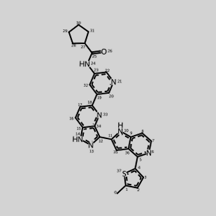 Cc1ccc(-c2nccc3[nH]c(-c4n[nH]c5ccc(-c6cncc(NC(=O)C7CCCC7)c6)nc45)cc23)s1